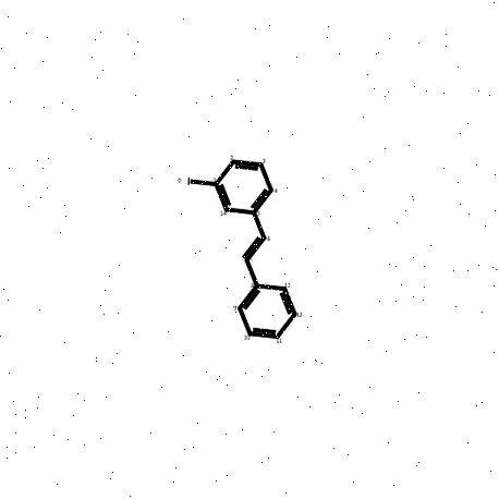 Ic1cccc(/C=C/c2ccccc2)c1